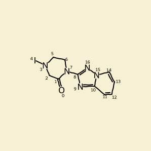 O=C1CN(I)CCN1c1nc2ccccn2n1